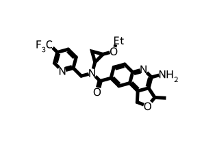 CCOC1CC1N(Cc1ccc(C(F)(F)F)cn1)C(=O)c1ccc2nc(N)c3c(c2c1)COC3C